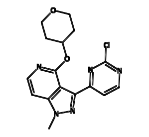 Cn1nc(-c2ccnc(Cl)n2)c2c(OC3CCOCC3)nccc21